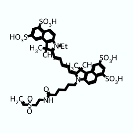 C=CS(=O)(=O)CCNC(=O)CCCCCN1/C(=C/C=C/C=C/C2=[N+](CC)c3ccc4c(S(=O)(=O)O)cc(S(=O)(=O)O)cc4c3C2(C)C)C(C)(C)c2c1ccc1c(S(=O)(=O)O)cc(S(=O)(=O)O)cc21